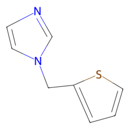 c1csc(Cn2ccnc2)c1